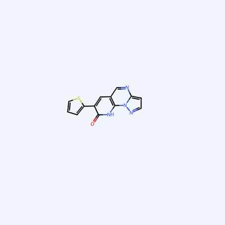 O=c1[nH]c2c(cnc3ccnn32)cc1-c1cccs1